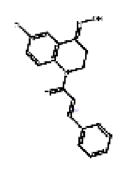 O=C(/C=C/c1ccccc1)N1CCC(=NO)c2cc(Cl)ccc21